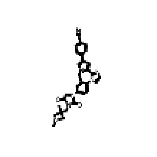 CN1CC(C)(CN2C(=O)CN(c3ccc4c(c3)Cn3cc(-c5ccc(C#N)cc5)cc3-c3nccn3-4)C2=O)C1